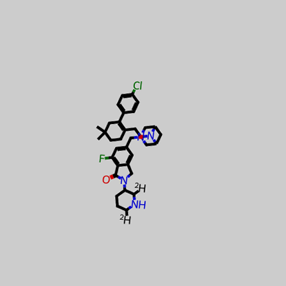 [2H]C1CCC(N2Cc3cc(CN4CC5CC(C4)N5CCC4=C(c5ccc(Cl)cc5)CC(C)(C)CC4)cc(F)c3C2=O)C([2H])N1